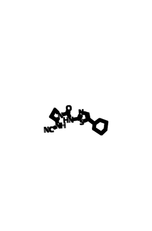 N#CNC1CCN1C(=O)Nc1ncc(C2CCCCC2)s1